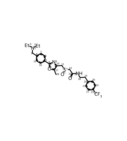 CCN(CC)Cc1ccc(-c2nc(C[S+]([O-])CC(=O)NCCc3ccc(C(F)(F)F)cc3)c(C)o2)cc1